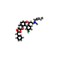 Cc1ccc(OC(CCN(C)CC(=O)O)c2ccc(F)cc2)cc1OC1=COC(Cc2ccccc2)O1